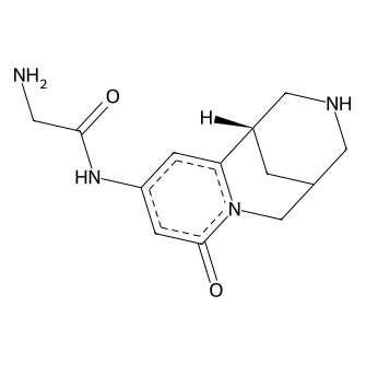 NCC(=O)Nc1cc2n(c(=O)c1)CC1CNC[C@@H]2C1